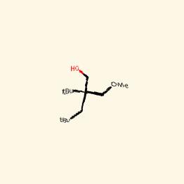 COC[C@@](CO)(CC(C)(C)C)C(C)(C)C